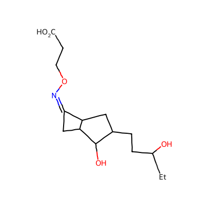 CCC(O)CCC1CC2C(=NOCCC(=O)O)CC2C1O